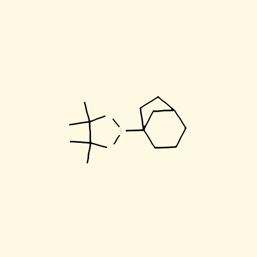 CC1(C)OB(C23CCCC(CC2)C3)OC1(C)C